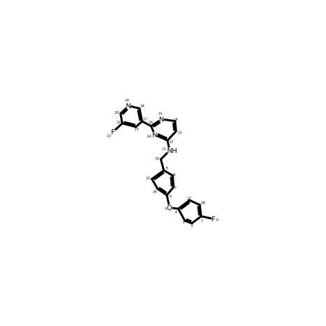 Fc1ccc(Oc2ccc(CNc3ccnc(-c4cncc(F)c4)n3)cc2)cc1